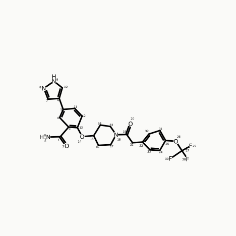 NC(=O)c1cc(-c2cn[nH]c2)ccc1OC1CCN(C(=O)Cc2ccc(OC(F)(F)F)cc2)CC1